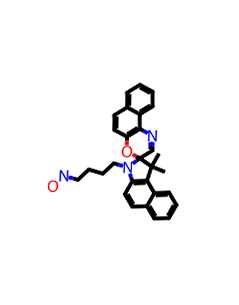 CC1(C)c2c(ccc3ccccc23)N(CCCCN=O)C12C=Nc1c(ccc3ccccc13)O2